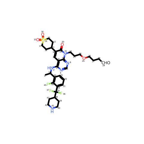 CC(Nc1ncnc2c1cc(C1CCS(=O)(=O)CC1)c(=O)n2CCCOCCCC=O)c1cccc(C(F)(F)C2CCNCC2)c1F